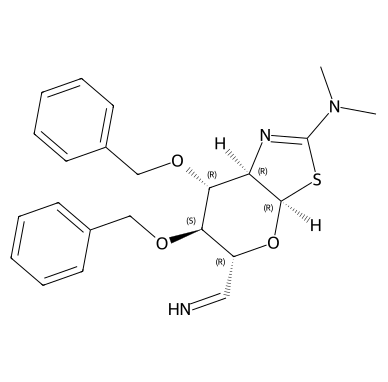 CN(C)C1=N[C@@H]2[C@@H](OCc3ccccc3)[C@H](OCc3ccccc3)[C@@H](C=N)O[C@@H]2S1